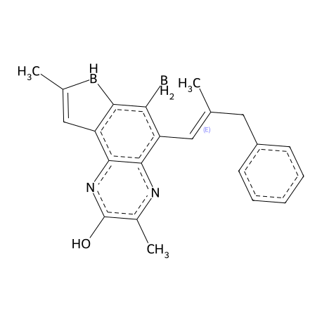 Bc1c2c(c3nc(O)c(C)nc3c1/C=C(\C)Cc1ccccc1)C=C(C)B2